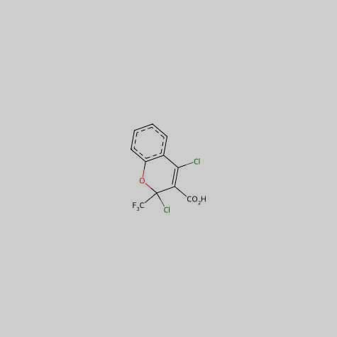 O=C(O)C1=C(Cl)c2ccccc2OC1(Cl)C(F)(F)F